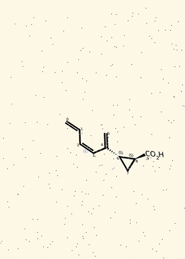 C=C/C=C\C(=C)[C@H]1C[C@@H]1C(=O)O